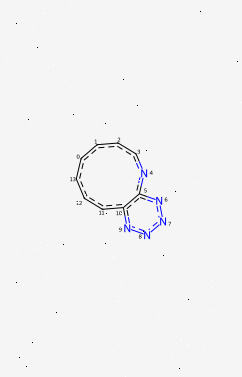 c1cccnc2nnnnc2ccc1